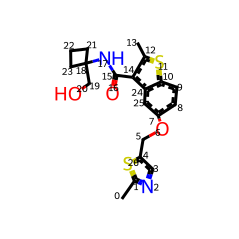 Cc1ncc(COc2ccc3sc(C)c(C(=O)NC4(CO)CCC4)c3c2)s1